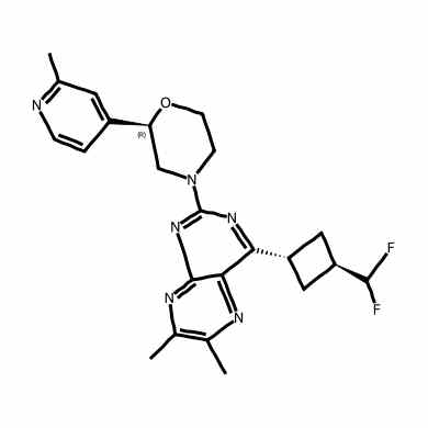 Cc1cc([C@@H]2CN(c3nc4nc(C)c(C)nc4c([C@H]4C[C@H](C(F)F)C4)n3)CCO2)ccn1